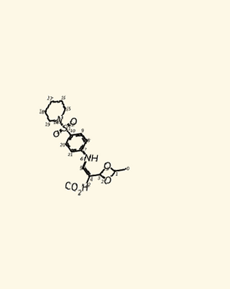 CC1OC(/C(=C\Nc2ccc(S(=O)(=O)N3CCCCC3)cc2)C(=O)O)O1